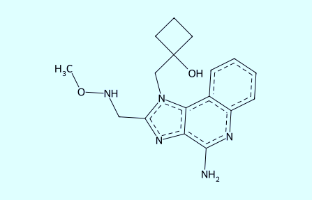 CONCc1nc2c(N)nc3ccccc3c2n1CC1(O)CCC1